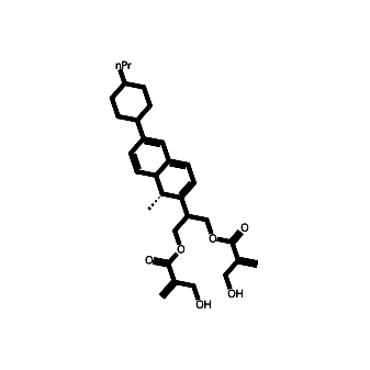 C=C(CO)C(=O)OCC(COC(=O)C(=C)CO)C1=CC=C2C=C(C3CCC(CCC)CC3)C=CC2[C@H]1C